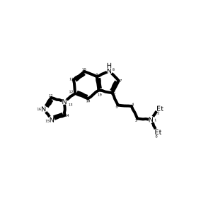 CCN(CC)CCCc1c[nH]c2ccc(-n3cnnc3)cc12